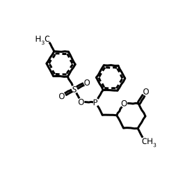 Cc1ccc(S(=O)(=O)OP(CC2CC(C)CC(=O)O2)c2ccccc2)cc1